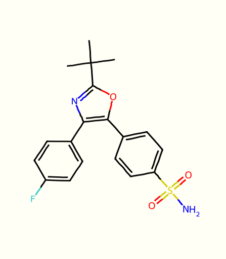 CC(C)(C)c1nc(-c2ccc(F)cc2)c(-c2ccc(S(N)(=O)=O)cc2)o1